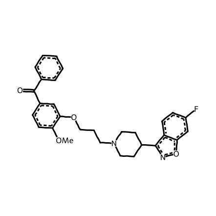 COc1ccc(C(=O)c2ccccc2)cc1OCCCN1CCC(c2noc3cc(F)ccc23)CC1